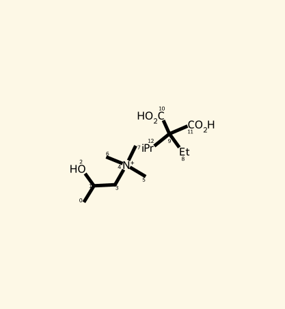 CC(O)C[N+](C)(C)C.CCC(C(=O)O)(C(=O)O)C(C)C